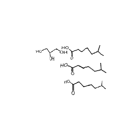 CC(C)CCCCC(=O)O.CC(C)CCCCC(=O)O.CC(C)CCCCC(=O)O.OCC(O)CO